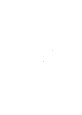 CC[C@H](O)C(=[Se])N[C@@H](CC[Se]C)C(=O)O